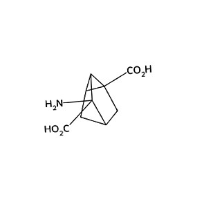 NC1(C(=O)O)C2CC3C1C3(C(=O)O)C2